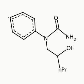 CCCC(O)CN(C(N)=O)c1cc[c]cc1